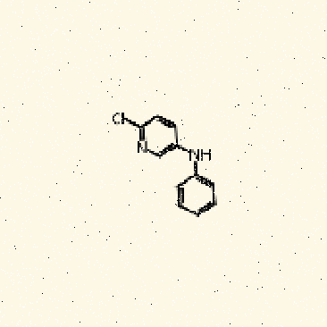 Clc1ccc(Nc2[c]cccc2)cn1